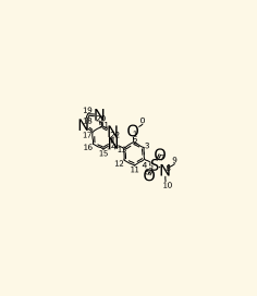 COc1cc(S(=O)(=O)N(C)C)ccc1-n1ccc2ncnc-2n1